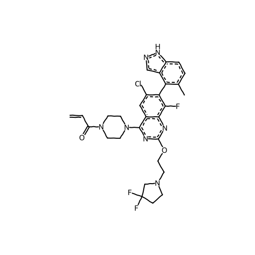 C=CC(=O)N1CCN(c2nc(OCCN3CCC(F)(F)C3)nc3c(F)c(-c4c(C)ccc5[nH]ncc45)c(Cl)cc23)CC1